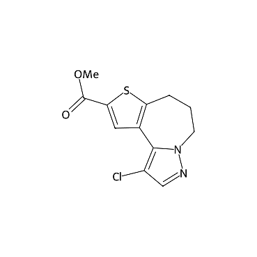 COC(=O)c1cc2c(s1)CCCn1ncc(Cl)c1-2